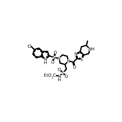 CCOC(=O)NS(=O)(=O)CC1CN(S(=O)(=O)c2cc3cc(Cl)ccc3[nH]2)CCN1C(=O)c1nc2c(s1)CNC(C)C2